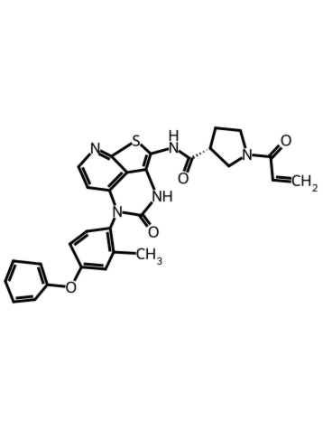 C=CC(=O)N1CC[C@@H](C(=O)Nc2sc3nccc4c3c2NC(=O)N4c2ccc(Oc3ccccc3)cc2C)C1